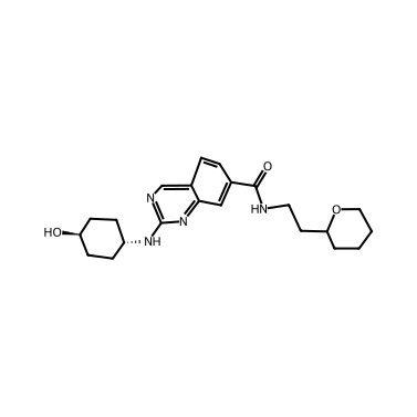 O=C(NCCC1CCCCO1)c1ccc2cnc(N[C@H]3CC[C@H](O)CC3)nc2c1